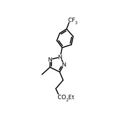 CCOC(=O)CCc1nn(-c2ccc(C(F)(F)F)cc2)nc1C